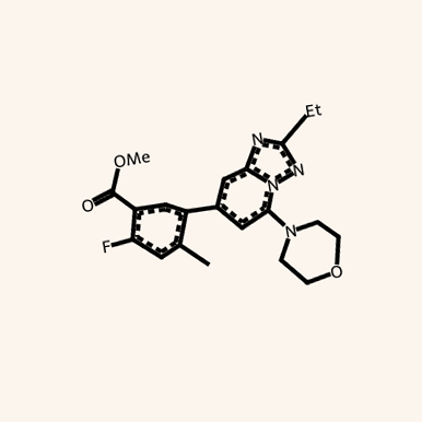 CCc1nc2cc(-c3cc(C(=O)OC)c(F)cc3C)cc(N3CCOCC3)n2n1